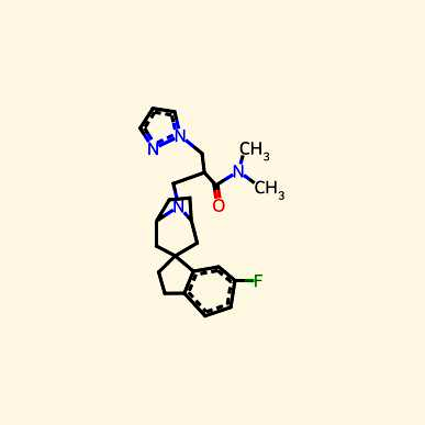 CN(C)C(=O)C(CN1C2CCC1CC1(CCc3ccc(F)cc31)C2)Cn1cccn1